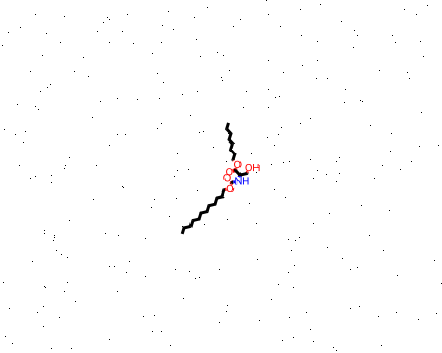 CCCCCCCCCCCCOC(=O)NC(CO)C(=O)OCCCCCCCC